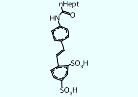 CCCCCCCC(=O)Nc1ccc(C=Cc2ccc(S(=O)(=O)O)cc2S(=O)(=O)O)cc1